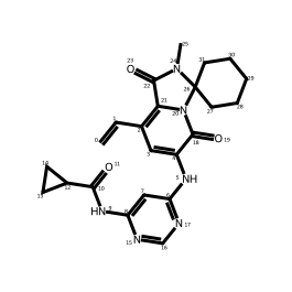 C=Cc1cc(Nc2cc(NC(=O)C3CC3)ncn2)c(=O)n2c1C(=O)N(C)C21CCCCC1